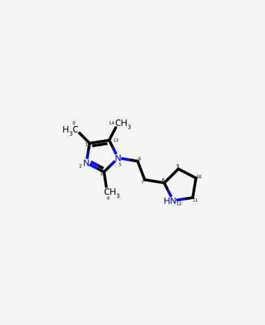 Cc1nc(C)n(CCC2CCCN2)c1C